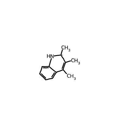 C[C]1Nc2ccccc2C(C)=C1C